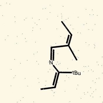 C\C=C(C)/C=N\C(=C/C)C(C)(C)C